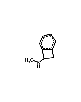 CBC1Cc2ccccc21